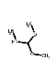 COC(NN)OC